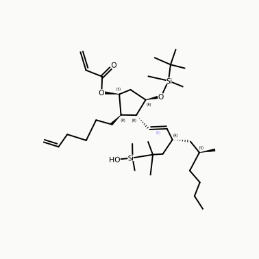 C=CCCCC[C@@H]1[C@@H](/C=C/[C@H](C[C@@H](C)CCCC)CC(C)(C)[Si](C)(C)O)[C@H](O[Si](C)(C)C(C)(C)C)C[C@@H]1OC(=O)C=C